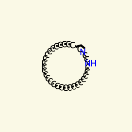 C1CCCCCCCCCCCCCNCCN2CCC(CCCCCCCCCCCCC1)C2